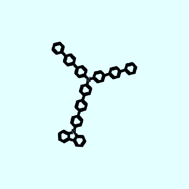 c1ccc(-c2ccc(-c3ccc(N(c4ccc(-c5ccc(-c6ccccc6)cc5)cc4)c4ccc(-c5ccc(-c6ccc(-n7c8ccccc8c8ccccc87)cc6)cc5)cc4)cc3)cc2)cc1